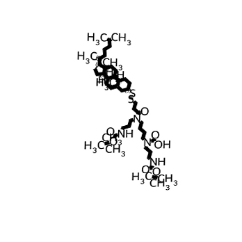 CC(C)CCC[C@@H](C)[C@H]1CC[C@H]2[C@@H]3CC=C4C[C@@H](SSCCC(=O)N(CCCCN(CCCNC(=O)OC(C)(C)C)C(=O)O)CCCNC(=O)OC(C)(C)C)CC[C@]4(C)[C@H]3CC[C@]12C